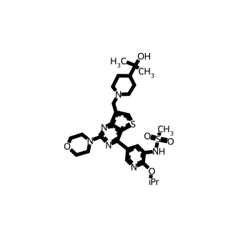 CC(C)Oc1ncc(-c2nc(N3CCOCC3)nc3c(CN4CCC(C(C)(C)O)CC4)csc23)cc1NS(C)(=O)=O